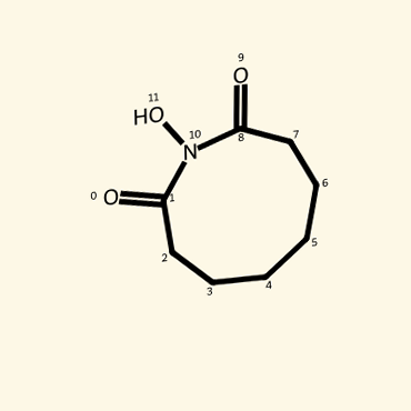 O=C1CCCCCCC(=O)N1O